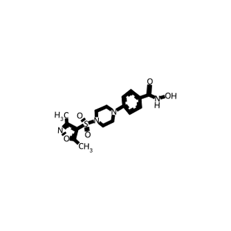 Cc1noc(C)c1S(=O)(=O)N1CCN(c2ccc(C(=O)NO)cc2)CC1